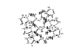 [Ir].c1ccc2nc(Cc3nnc4ccccc4n3)nnc2c1.c1ccc2nc(Cc3nnc4ccccc4n3)nnc2c1.c1ccc2nc(Cc3nnc4ccccc4n3)nnc2c1